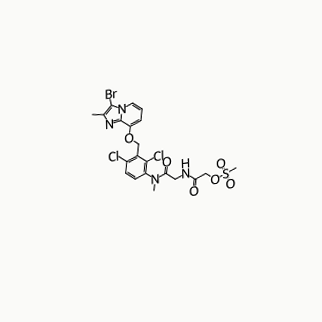 Cc1nc2c(OCc3c(Cl)ccc(N(C)C(=O)CNC(=O)COS(C)(=O)=O)c3Cl)cccn2c1Br